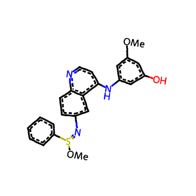 COc1cc(O)cc(Nc2ccnc3ccc(N=S(OC)c4ccccc4)cc23)c1